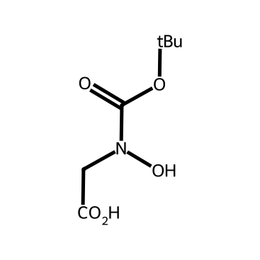 CC(C)(C)OC(=O)N(O)CC(=O)O